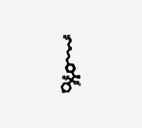 C=CCOCCCc1ccc(C(=O)C(C)(C)N2CCOCC2)cc1